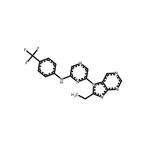 CCc1nc2ncncc2n1-c1cncc(Nc2ccc(C(F)(F)F)cc2)n1